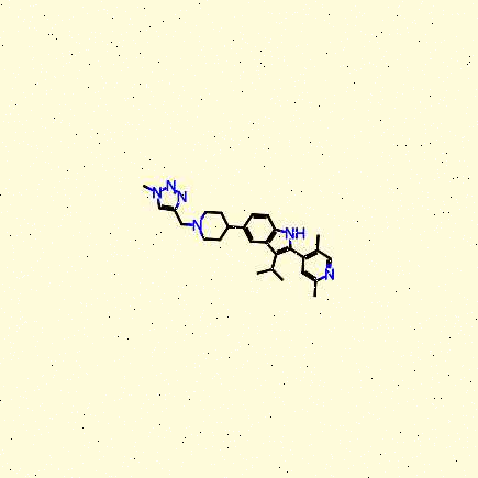 Cc1cc(-c2[nH]c3ccc(C4CCN(Cc5cn(C)nn5)CC4)cc3c2C(C)C)c(C)cn1